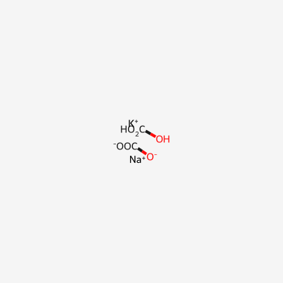 O=C(O)O.O=C([O-])[O-].[K+].[Na+]